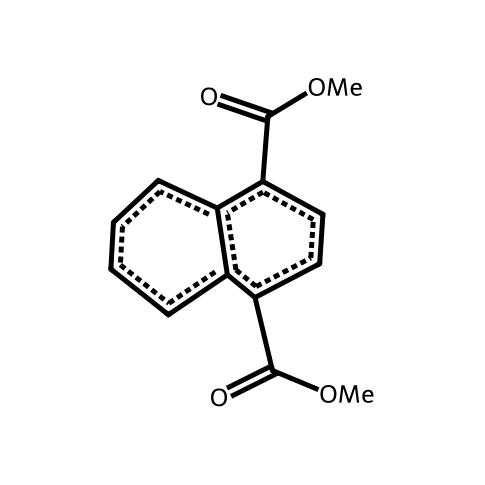 COC(=O)c1ccc(C(=O)OC)c2ccccc12